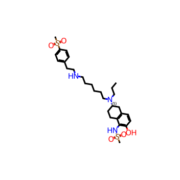 CCCN(CCCCCCNCCc1ccc(S(C)(=O)=O)cc1)[C@H]1CCc2c(ccc(O)c2NS(C)(=O)=O)C1